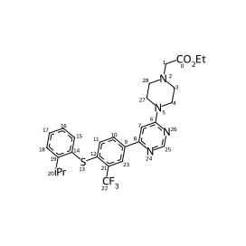 CCOC(=O)CN1CCN(c2cc(-c3ccc(Sc4ccccc4C(C)C)c(C(F)(F)F)c3)ncn2)CC1